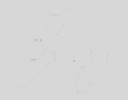 COc1ccc2c(c1)c(CC(=O)N(c1nccs1)C1CCCCC1)c(C)n2C(=O)c1ccc(Cl)nc1